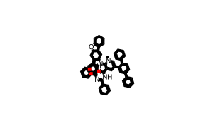 CN1C=C(C2=CC(c3ccccc3)=CCC2C2=CCCC=C2)C=C(C2NC(C3C=CCCC3)=NC(c3ccccc3)N2)C1n1c2c(c3ccccc31)CC1OC3=C(C=CCC3)C1=C2